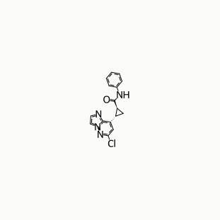 O=C(Nc1ccccc1)[C@H]1C[C@@H]1c1cc(Cl)nn2ccnc12